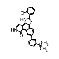 CN(C)c1cccc(-c2ccc3c(c2)c2c(=O)[nH]ccc2c2[nH]c(-c4ccccc4Cl)nc32)c1